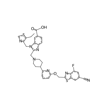 CCc1scnc1Cn1c(CN2CCC(c3cccc(OCc4nc5c(F)cc(C#N)cc5s4)n3)CC2)nc2ccc(C(=O)O)cc21